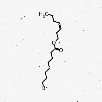 CCC/C=C\CCOC(=O)CCCCCCCBr